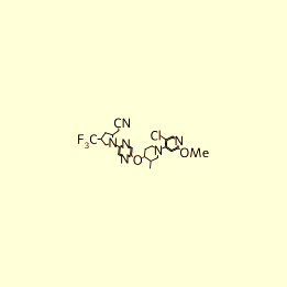 COc1cc(N2CCC(Oc3cnc(N4CC(C(F)(F)F)CC4CC#N)cn3)C(C)C2)c(Cl)cn1